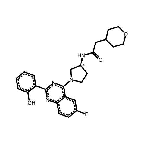 O=C(CC1CCOCC1)N[C@H]1CCN(c2nc(-c3ccccc3O)nc3ccc(F)cc23)C1